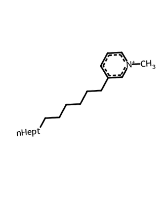 CCCCCCCCCCCCCc1ccc[n+](C)c1